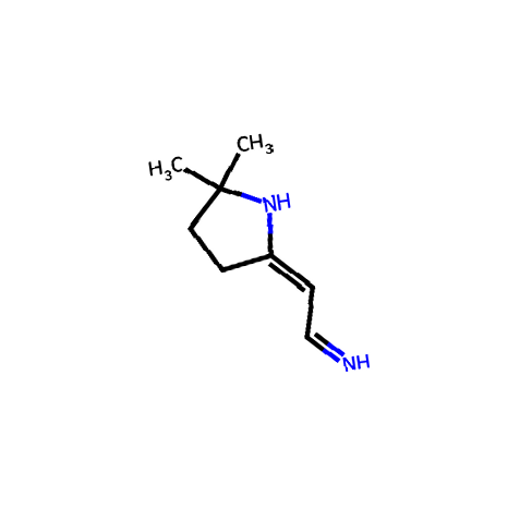 CC1(C)CCC(=CC=N)N1